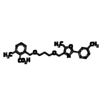 Cc1cccc(-c2nc(COCCCOCc3cccc(C)c3C(=O)O)c(C)o2)c1